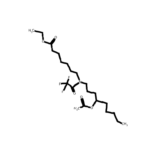 CCCCCC(CCCN(CCCCCCC(=O)OCC)C(=O)C(F)(F)F)OC(C)=O